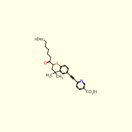 CCCCCCCCCCCCCCCC(=O)C1CC(C)(C)c2cc(C#Cc3ccc(C(=O)OCC)cn3)ccc2S1